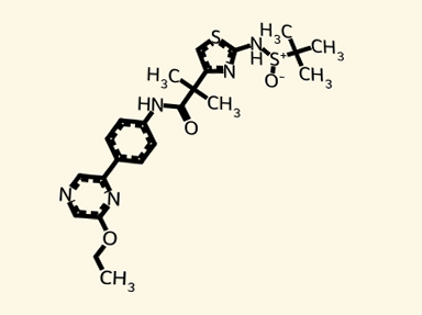 CCOc1cncc(-c2ccc(NC(=O)C(C)(C)c3csc(N[S+]([O-])C(C)(C)C)n3)cc2)n1